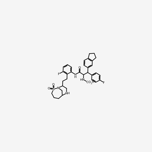 O=C(O)NC(C(=O)Nc1cccc(F)c1CCC1CNC2CCCS(=O)(=O)N1C2)C(c1ccc(F)cc1)c1ccc2c(c1)CCC2